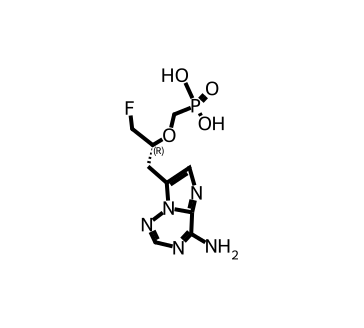 Nc1ncnn2c(C[C@H](CF)OCP(=O)(O)O)cnc12